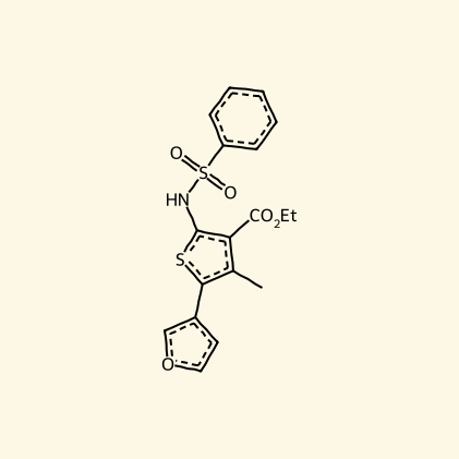 CCOC(=O)c1c(NS(=O)(=O)c2ccccc2)sc(-c2ccoc2)c1C